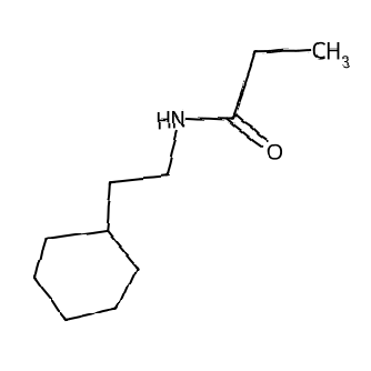 CCC(=O)NCCC1CCCCC1